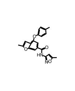 Cc1ccc(Oc2cc(C(=O)Nc3cc(C)on3)cc3oc(C)cc23)cc1